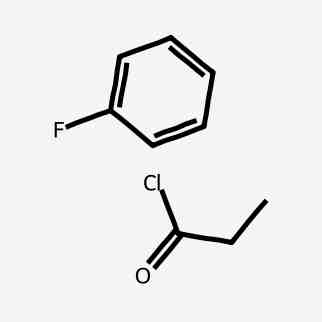 CCC(=O)Cl.Fc1ccccc1